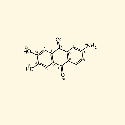 Nc1ccc2c(c1)C(=O)c1cc(O)c(O)cc1C2=O